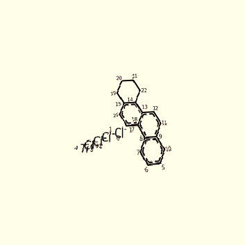 [Cl-].[Cl-].[Cl-].[Cl-].[Ti+4].c1ccc2c(c1)ccc1c3c(ccc12)CCCC3